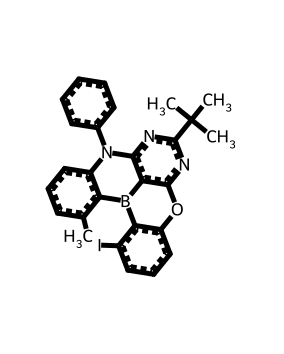 Cc1cccc2c1B1c3c(I)cccc3Oc3nc(C(C)(C)C)nc(c31)N2c1ccccc1